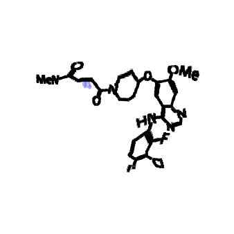 CNC(=O)/C=C/C(=O)N1CCC(Oc2cc3c(Nc4ccc(F)c(Cl)c4F)ncnc3cc2OC)CC1